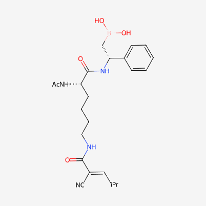 CC(=O)N[C@@H](CCCCNC(=O)C(C#N)=CC(C)C)C(=O)N[C@H](CB(O)O)c1ccccc1